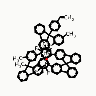 C=Cc1ccc(C2(c3cc(C)ccc3C)c3ccccc3-c3ccc(N(c4ccc(F)c(F)c4)c4ccc5c(c4)C4(c6ccccc6-c6ccc(N(c7ccc(F)c(F)c7)c7ccc8c(c7)C(C)(c7cc(C)ccc7C)c7ccccc7-8)cc64)c4ccccc4-5)cc32)cc1